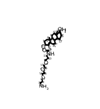 CC12CCC(=O)C(SC(=O)NCCCOCCOCCOCCCN)=C1CCC1C2CCC2(C)C(O)CCC12